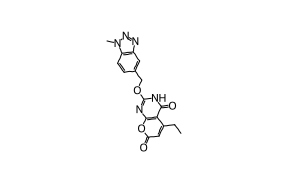 CCc1cc(=O)oc2nc(OCc3ccc4c(c3)nnn4C)[nH]c(=O)c12